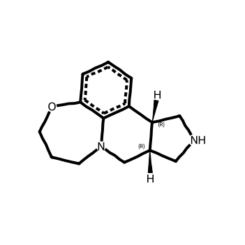 c1cc2c3c(c1)[C@@H]1CNC[C@@H]1CN3CCCO2